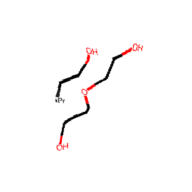 CC(C)CCO.OCCOCCO